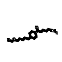 CCCCCC(=O)N1CCC(CCCCCOC=O)CC1